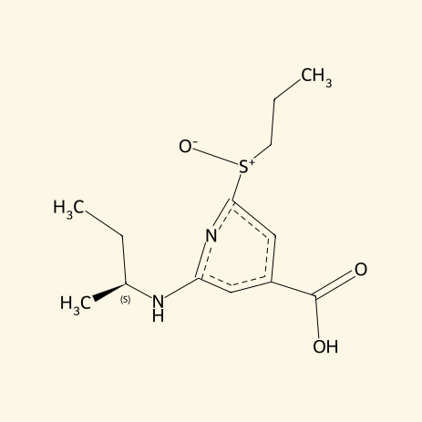 CCC[S+]([O-])c1cc(C(=O)O)cc(N[C@@H](C)CC)n1